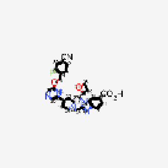 N#Cc1ccc(COc2cncc(C3=CCN(Cc4nc5ccc(C(=O)O)cc5n4C[C@@H]4CCO4)CC3)n2)c(F)c1